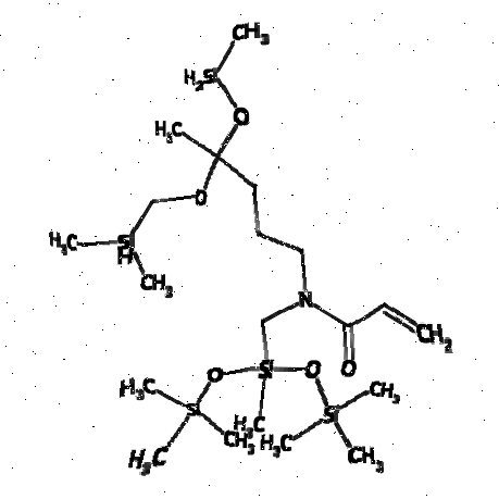 C=CC(=O)N(CCCC(C)(OC[SiH](C)C)O[SiH2]C)C[Si](C)(O[Si](C)(C)C)O[Si](C)(C)C